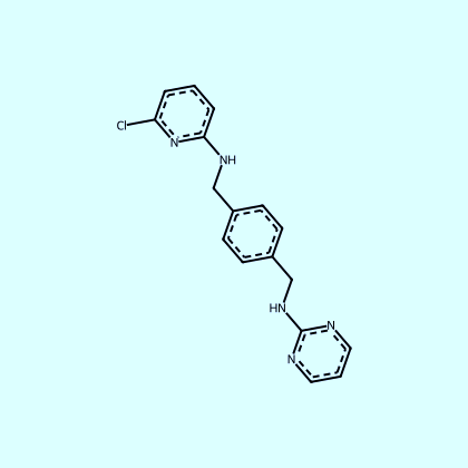 Clc1cccc(NCc2ccc(CNc3ncccn3)cc2)n1